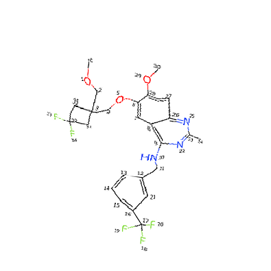 COCC1(COc2cc3c(NCc4cccc(C(F)(F)F)c4)nc(C)nc3cc2OC)CC(F)(F)C1